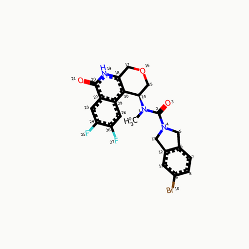 CN(C(=O)N1Cc2ccc(Br)cc2C1)[C@@H]1COCc2[nH]c(=O)c3cc(F)c(F)cc3c21